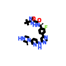 C[C@@H](NC(=O)c1nc(C(C)(C)C)no1)c1ccc(-c2cc(Nc3ccc(N4CCNC[C@@H]4C)cn3)ncn2)cc1F